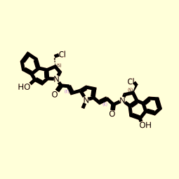 Cn1c(/C=C/C(=O)N2C[C@@H](CCl)c3c2cc(O)c2ccccc32)ccc1/C=C/C(=O)N1C[C@@H](CCl)c2c1cc(O)c1ccccc21